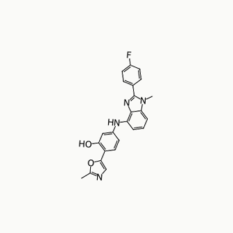 Cc1ncc(-c2ccc(Nc3cccc4c3nc(-c3ccc(F)cc3)n4C)cc2O)o1